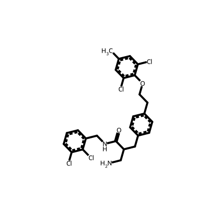 Cc1cc(Cl)c(OCCc2ccc(CC(CN)C(=O)NCc3cccc(Cl)c3Cl)cc2)c(Cl)c1